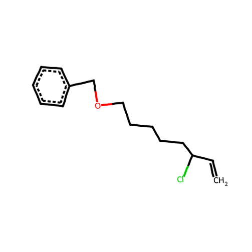 C=CC(Cl)CCCCCOCc1ccccc1